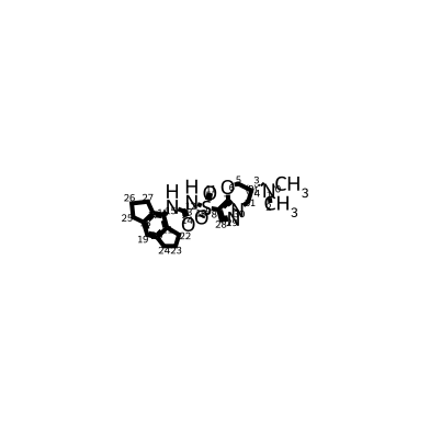 CN(C)C[C@H]1COc2c(S(=O)(=O)NC(=O)Nc3c4c(cc5c3CCC5)CCC4)cnn2C1